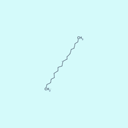 [CH2]CCCCCCCC[CH]CCCCCCCC